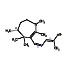 CCC/C(C)=C/C=C\C1=C(C)N(C)CC[C@@H](C)C1(C)C